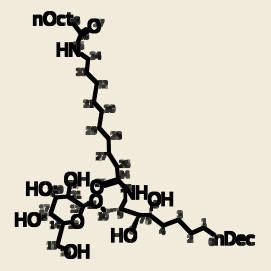 CCCCCCCCCCCCCC[C@@H](O)[C@@H](O)[C@H](CO[C@H]1OC(CO)[C@H](O)[C@H](O)C1O)NC(=O)CCCCCCCCCNC(=O)CCCCCCCC